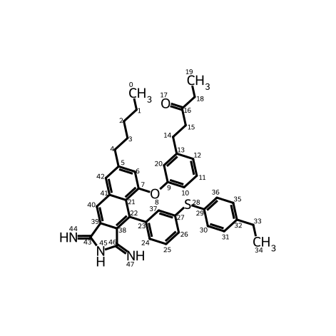 CCCCCc1cc(Oc2cccc(CCC(=O)CC)c2)c2c(-c3cccc(Sc4ccc(CC)cc4)c3)c3c(cc2c1)C(=N)NC3=N